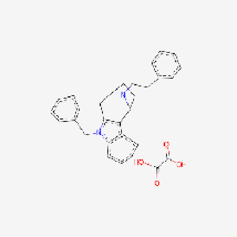 O=C(O)C(=O)O.c1ccc(CCN2C3CCC2c2c(n(Cc4ccccc4)c4ccccc24)C3)cc1